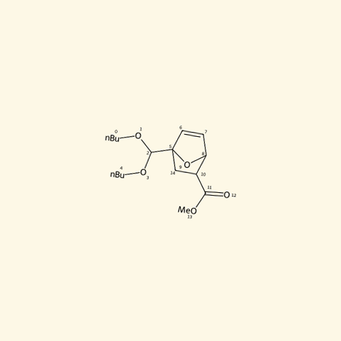 CCCCOC(OCCCC)C12C=CC(O1)C(C(=O)OC)C2